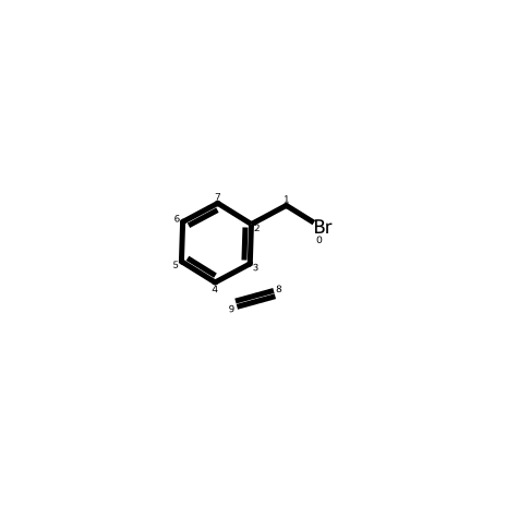 BrCc1ccccc1.C=C